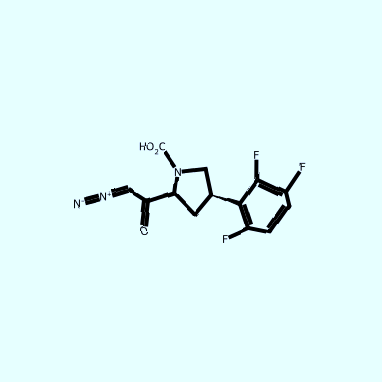 [N-]=[N+]=CC(=O)C1C[C@H](c2c(F)ccc(F)c2F)CN1C(=O)O